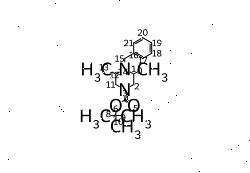 CC1CN(C(=O)OC(C)(C)C)CC(C)N1Cc1ccccc1